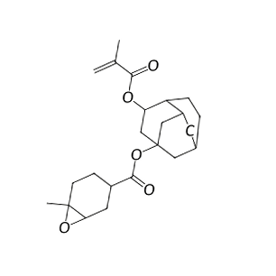 C=C(C)C(=O)OC1CC2(OC(=O)C3CCC4(C)OC4C3)CC3CCC1C(C3)C2